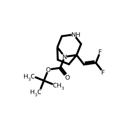 CC(C)(C)OC(=O)N1C2CCC1(C=C(F)F)CNC2